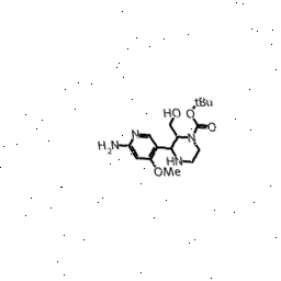 COc1cc(N)ncc1C1NCCN(C(=O)OC(C)(C)C)C1CO